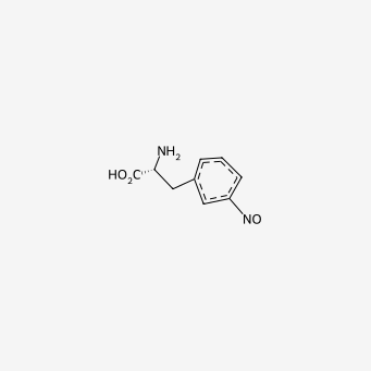 N[C@H](Cc1cccc(N=O)c1)C(=O)O